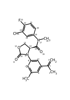 C=C(C)c1cc(C)nc(N2C(=O)OC[C@H]2C(=O)N(C)c2ccc(F)c(Cl)c2)c1